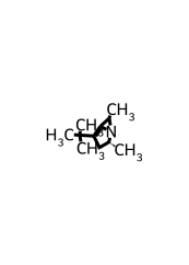 CC1C2=C(C(C)(C)C)C[C@@H](C)N21